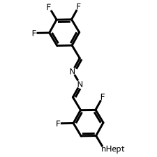 CCCCCCCc1cc(F)c(C=NN=Cc2cc(F)c(F)c(F)c2)c(F)c1